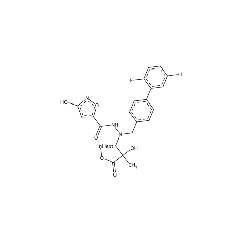 CCCCCCCOC(=O)C(C)(O)CN(Cc1ccc(-c2cc(Cl)ccc2F)cc1)NC(=O)c1cc(O)no1